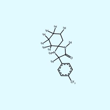 [2H]C1CC2(N([2H])C(=O)C([2H])(c3ccc(C(F)(F)F)cc3)N2[2H])C([2H])([2H])C([2H])([2H])C1([2H])[2H]